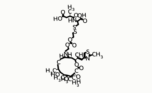 C/C(=C\c1csc(C)n1)[C@@H]1C[C@H]2[C@@H](CCC[C@H](C)[C@H](O)[C@@H](C)C(=O)C(C)(C)[C@@H](O)CC(=O)O1)N2CCOC(=O)OCCSSCC(NC(=O)[C@@H](C)CC(=O)O)C(=O)O